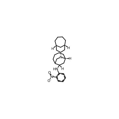 O=[N+]([O-])c1ccccc1N[C@H]1C[C@H]2CCCCC1CN2[C@@H]1C[C@@H]2CCCC[C@@H](C2)C1